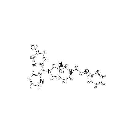 Clc1ccc(C(c2ccccn2)N2CC3CCN(CCOc4ccccc4)C[C@H]3C2)cc1